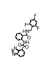 O=C(NCc1c(F)cc(F)cc1F)c1ccccc1NS(=O)(=O)c1cccc2nsnc12